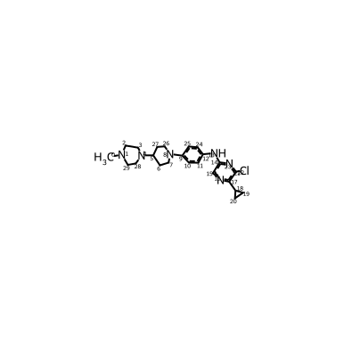 CN1CCN(C2CCN(c3ccc(Nc4cnc(C5CC5)c(Cl)n4)cc3)CC2)CC1